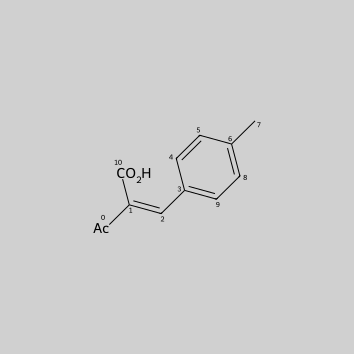 CC(=O)C(=Cc1ccc(C)cc1)C(=O)O